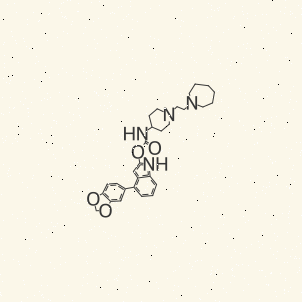 O=C(NC1CCN(CCN2CCCCCC2)CC1)Oc1cc2c(-c3ccc4c(c3)OCO4)cccc2[nH]1